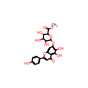 COC(=O)C1OC(Oc2cc3oc(-c4ccc(O)cc4)cc(=O)c3c(O)c2O)C(O)C(O)[C@H]1O